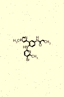 C=CC(=O)Nc1ccc(Nc2ccc(Br)c(C)n2)c(-c2cn(C)cn2)c1